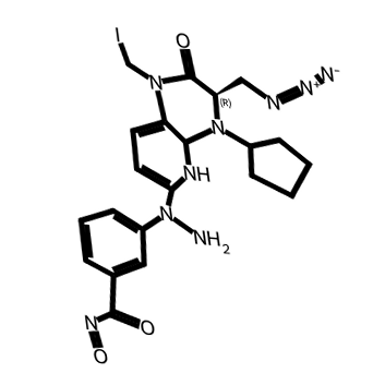 [N-]=[N+]=NC[C@@H]1C(=O)N(CI)C2=CC=C(N(N)c3cccc(C(=O)N=O)c3)NC2N1C1CCCC1